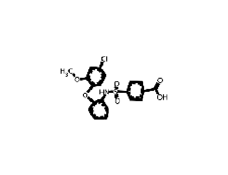 COc1cc(Cl)ccc1Oc1ccccc1NS(=O)(=O)c1ccc(C(=O)O)cc1